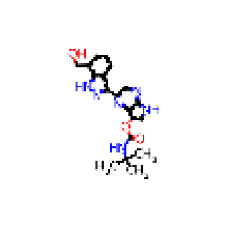 CC(C)(C)NC(=O)Oc1c[nH]c2ncc(-c3n[nH]c4c(CO)cccc34)nc12